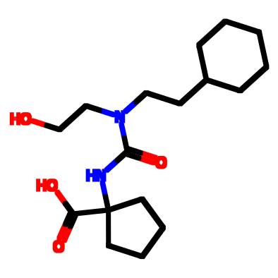 O=C(NC1(C(=O)O)CCCC1)N(CCO)CCC1CCCCC1